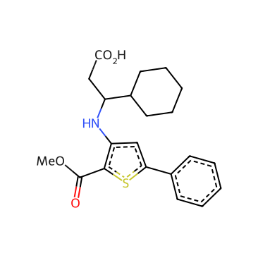 COC(=O)c1sc(-c2ccccc2)cc1NC(CC(=O)O)C1CCCCC1